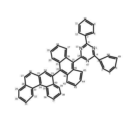 c1ccc(-c2nc(-c3ccccc3)nc(-c3c4ccccc4c(-c4cc5ccc6ccccc6c5c5ccccc45)c4ccccc34)n2)cc1